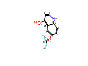 Oc1ccnc2ccc(OC(F)F)cc12